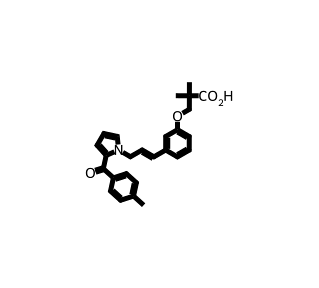 Cc1ccc(C(=O)c2cccn2C/C=C/c2cccc(OCC(C)(C)C(=O)O)c2)cc1